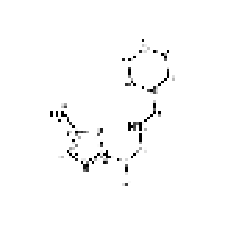 CC(CNCC1CCOCC1)n1cnc(N)c1